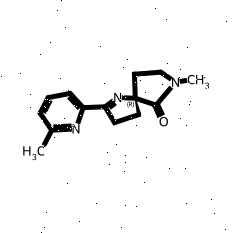 Cc1cccc(C2=N[C@]3(CC2)CCN(C)C3=O)n1